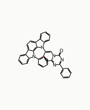 O=c1nc(-c2ccccc2)nc2ccc(-n3c4ccccc4c4ccc5c6ccccc6n(-c6ccccc6)c5c43)cn12